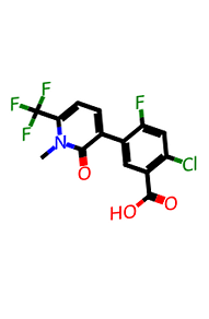 Cn1c(C(F)(F)F)ccc(-c2cc(C(=O)O)c(Cl)cc2F)c1=O